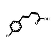 O=C(O)/C=C\C=C\c1ccc(Br)cc1